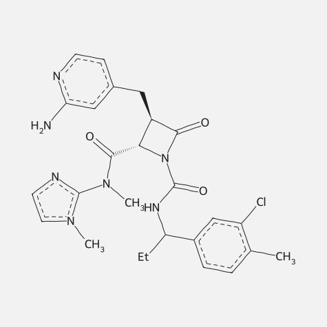 CCC(NC(=O)N1C(=O)[C@H](Cc2ccnc(N)c2)[C@H]1C(=O)N(C)c1nccn1C)c1ccc(C)c(Cl)c1